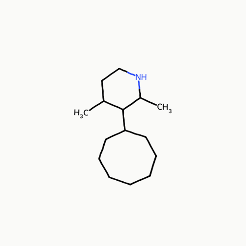 CC1CCNC(C)C1C1CCCCCCC1